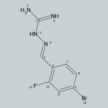 N=C(N)NN=Cc1ccc(Br)cc1F